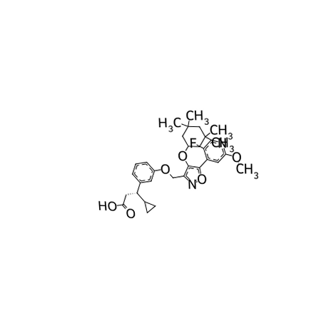 COc1cc(-c2onc(COc3cccc([C@@H](CC(=O)O)C4CC4)c3)c2OC2CC(C)(C)CC(C)(C)C2)c(F)cn1